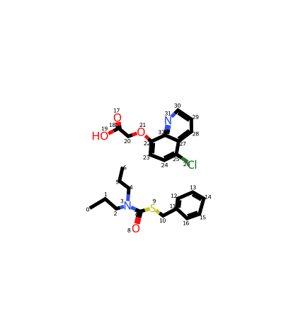 CCCN(CCC)C(=O)SCc1ccccc1.O=C(O)COc1ccc(Cl)c2cccnc12